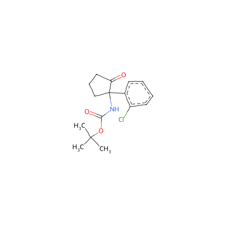 CC(C)(C)OC(=O)NC1(c2ccccc2Cl)CCCC1=O